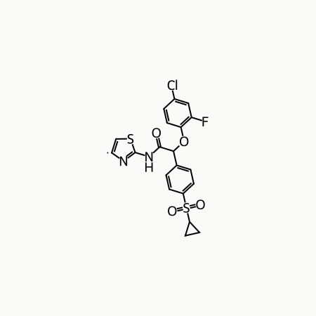 O=C(Nc1n[c]cs1)C(Oc1ccc(Cl)cc1F)c1ccc(S(=O)(=O)C2CC2)cc1